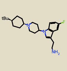 CC(C)(C)[C@H]1CC[C@@H](N2CCC(n3cc(CCN)c4cc(F)ccc43)CC2)CC1